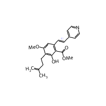 C=C(C)CCc1c(OC)cc(/C=C/c2ccncc2)c(C(=O)OC)c1O